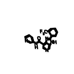 O=C(Nc1cccnc1)c1cncc2[nH]c(-c3ccccc3C(F)(F)F)nc12